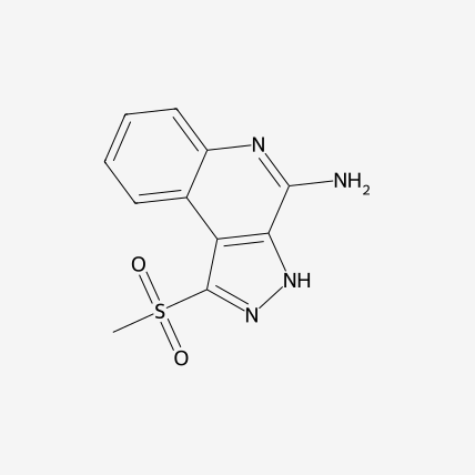 CS(=O)(=O)c1n[nH]c2c(N)nc3ccccc3c12